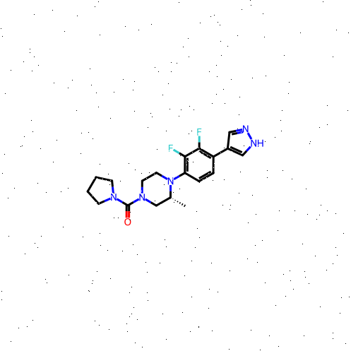 C[C@@H]1CN(C(=O)N2CCCC2)CCN1c1ccc(-c2cn[nH]c2)c(F)c1F